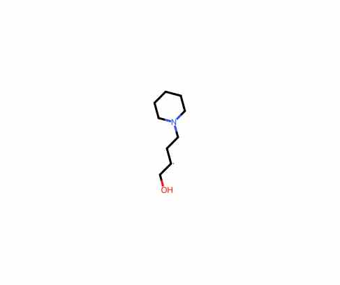 OC[CH]CCN1CCCCC1